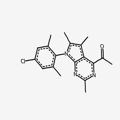 CC(=O)c1nc(C)nc2c1c(C)c(C)n2-c1c(C)cc(Cl)cc1C